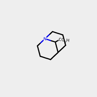 O=C(O)C1C2CCCN1CCC2